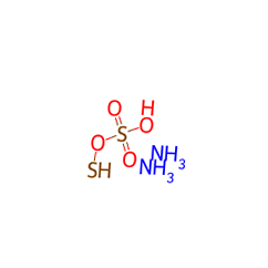 N.N.O=S(=O)(O)OS